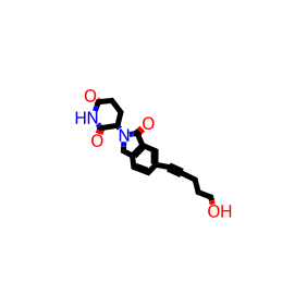 O=C1CCC(N2Cc3ccc(C#CCCCO)cc3C2=O)C(=O)N1